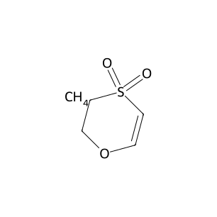 C.O=S1(=O)C=COCC1